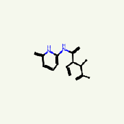 C=CC(C(=C)NC1=CC=CC(=C)N1)C(C)C(=C)C